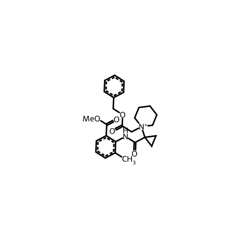 COC(=O)c1cccc(C)c1NC(=O)C1([N+]2(CC(=O)OCc3ccccc3)CCCCC2)CC1